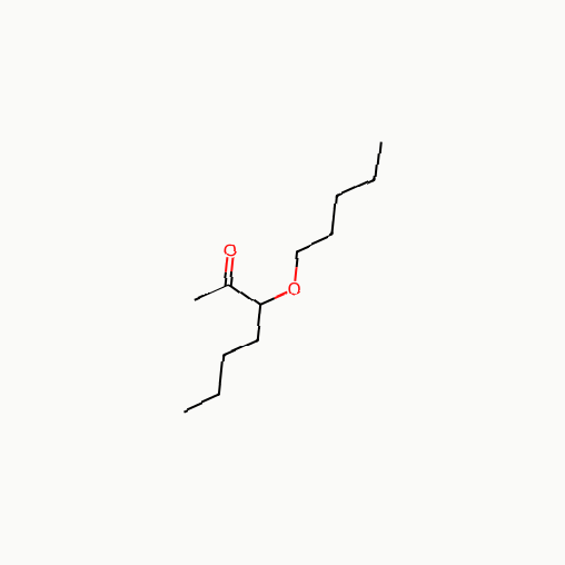 CCCCCOC(CCCC)C(C)=O